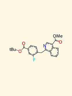 COC(=O)c1cnc(Cc2ccc(C(=O)OC(C)(C)C)cc2F)c2ccccc12